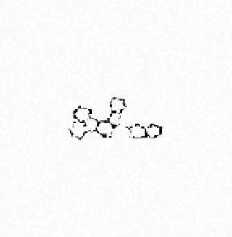 c1ccc2cc(-n3c4ccccc4c4c5c(ccc43)-c3cccc4cccc-5c34)ccc2c1